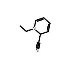 CCN1C=CC=CC1C#N